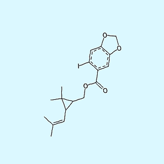 CC(C)=CC1C(COC(=O)c2cc3c(cc2I)OCO3)C1(C)C